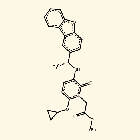 CCCCOC(=O)Cn1c(OC2CC2)ncc(N[C@H](C)c2ccc3oc4ccccc4c3c2)c1=O